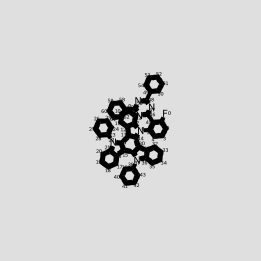 Fc1cccc(-n2c3ccccc3c3c4c(c5ccccc5n4-c4ccccc4)c4c(c5ccccc5n4-c4ccccc4)c32)c1-c1nc(-c2ccccc2)nc(-c2ccccc2)n1